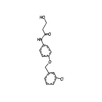 O=C(CCO)Nc1ccc(OCc2cccc(Cl)c2)cc1